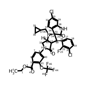 CCOC(=O)c1ccc(N2C[C@H]3C(C2=O)[C@H](c2cccc(Cl)c2F)[C@]2(C(=O)Nc4cc(Cl)ccc42)N3CC2CC2)cc1OC(F)(F)F